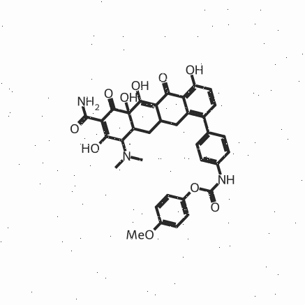 COc1ccc(OC(=O)Nc2ccc(-c3ccc(O)c4c3CC3CC5C(N(C)C)C(O)=C(C(N)=O)C(=O)C5(O)C(O)=C3C4=O)cc2)cc1